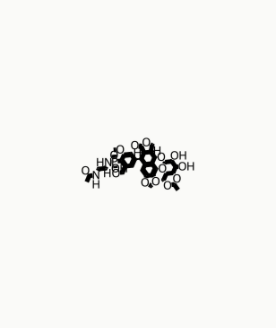 COc1cc([C@@H]2c3cc4c(cc3[C@@H](OC3OC5COC(C)OC5C(O)C3O)[C@H]3COC(=O)[C@H]23)OCO4)cc(CO)c1P(=O)(O)NCCNC(C)=O